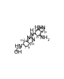 Cc1c(NCCO)ccc2cnc(Nc3cc(N)c4cn[nH]c4c3)nc12